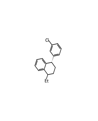 CCC1CC[C@@H](c2cccc(Cl)c2)c2ccccc21